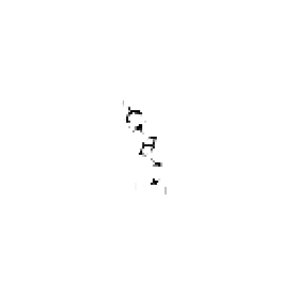 CC(C)(C)OC(=O)N1CC2C1CN2c1ncc(Br)cn1